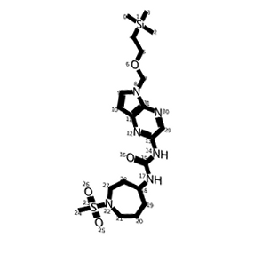 C[Si](C)(C)CCOCn1ccc2nc(NC(=O)NC3CCCN(S(C)(=O)=O)CC3)cnc21